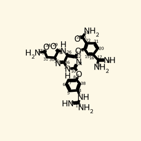 N=C(N)Nc1cccc(OC2=NC(Oc3cc(C(=N)N)ccc3C(N)=O)=C3NC(=O)C(CC(N)=O)N=C3N2)c1